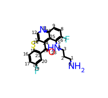 NCCCNc1c(F)ccc2ncc3sc4ccc(F)cc4c(=O)c3c12